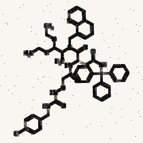 CCOC(OCC)[C@H](C)N(Cc1cccc2cccnc12)C(=O)[C@H](CC(=O)NC(c1ccccc1)(c1ccccc1)c1ccccc1)NC(=O)CONC(=O)NCc1ccc(Cl)cc1